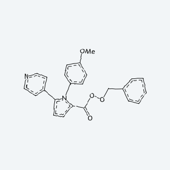 COc1ccc(-n2c(C(=O)OOCc3ccccc3)ccc2-c2ccncc2)cc1